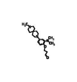 CN1CCC2(CC1)CCN(c1ccc(OCCC=O)c(N(C)C)c1)CC2